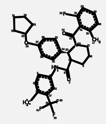 Cc1ccc(NC(=O)C2CCCN(C(=O)c3c(C)cccc3F)[C@H]2c2ccc(OC3CCCC3)cc2)cc1C(F)(F)F